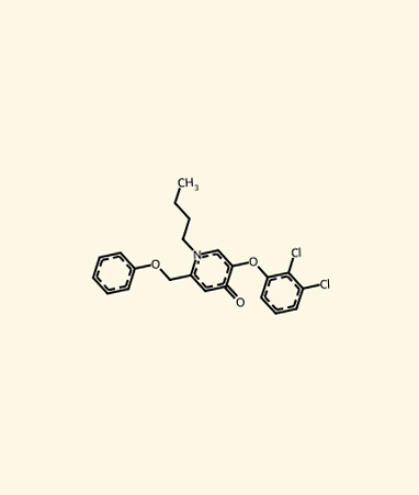 CCCCn1cc(Oc2cccc(Cl)c2Cl)c(=O)cc1COc1ccccc1